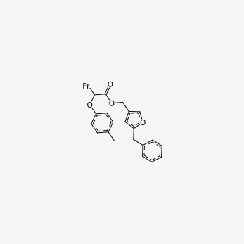 Cc1ccc(OC(C(=O)OCc2coc(Cc3ccccc3)c2)C(C)C)cc1